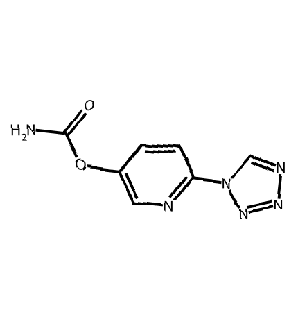 NC(=O)Oc1ccc(-n2cnnn2)nc1